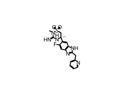 CN1C(=N)N[C@](C)(c2cc3[nH]c(Cc4ccccn4)nc3cc2F)CS1(=O)=O